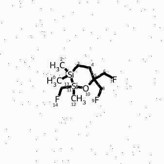 C[Si]1(C)CCC(CF)(CF)O[Si]1(C)CF